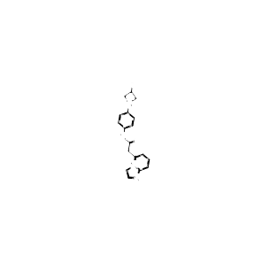 O=C(Cc1cccc2nccn12)Nc1ccc(N2CC(F)C2)cc1